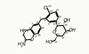 NC1CNc2cc(Cc3cc([C@@H]4O[C@H](CO)C[C@H](O)[C@H]4O)ccc3Cl)ccc2O1